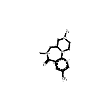 CC(C)N1CCN2c3ncc(C(F)(F)F)cc3C(=O)N(C)CC2C1